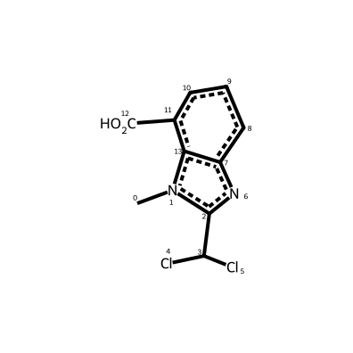 Cn1c(C(Cl)Cl)nc2cccc(C(=O)O)c21